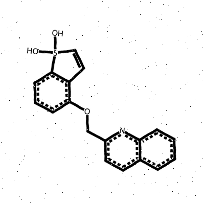 OS1(O)C=Cc2c(OCc3ccc4ccccc4n3)cccc21